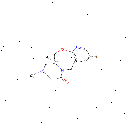 O=C(O)N1CC(=O)N2Cc3cc(Br)cnc3OC[C@@H]2C1